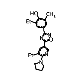 CCc1cc(-c2nc(-c3cc(C)c(O)c(CC)c3)no2)cnc1N1CCCC1